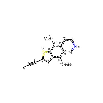 CC#Cc1cc2c(OC)c3cnccc3c(OC)c2s1